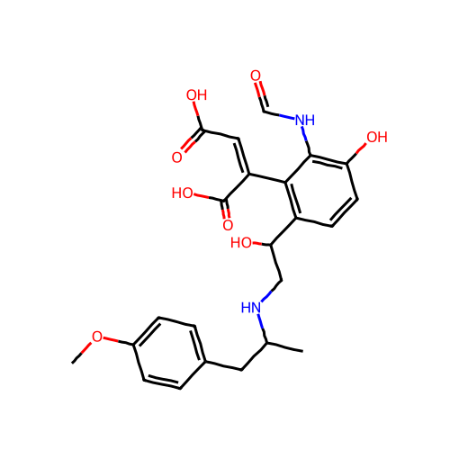 COc1ccc(CC(C)NCC(O)c2ccc(O)c(NC=O)c2/C(=C/C(=O)O)C(=O)O)cc1